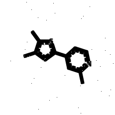 Cc1cc(-c2cc(C)c(C)s2)ccn1